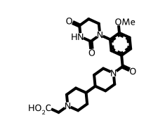 COc1ccc(C(=O)N2CCC(C3CCN(CC(=O)O)CC3)CC2)cc1N1CCC(=O)NC1=O